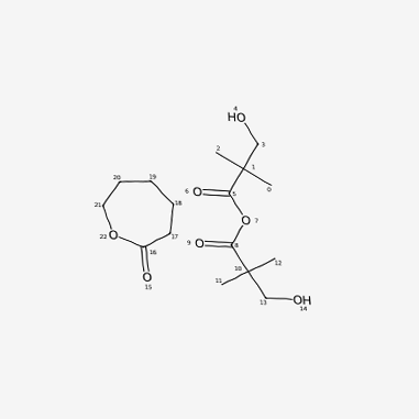 CC(C)(CO)C(=O)OC(=O)C(C)(C)CO.O=C1CCCCCO1